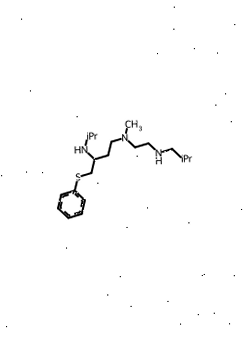 CC(C)CNCCN(C)CCC(CSc1ccccc1)NC(C)C